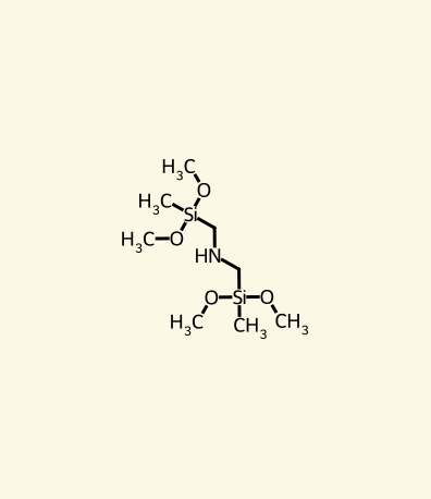 CO[Si](C)(CNC[Si](C)(OC)OC)OC